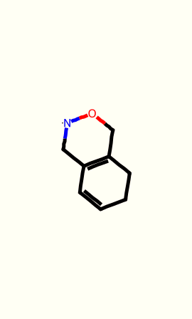 C1=CC2=C(CC1)CO[N]C2